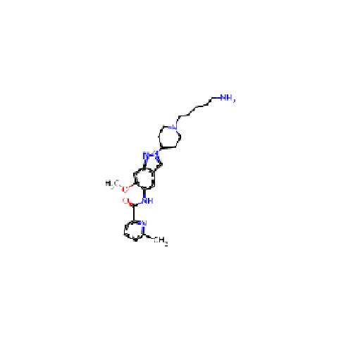 COc1cc2nn(C3CCN(CCCCCN)CC3)cc2cc1NC(=O)c1cccc(C)n1